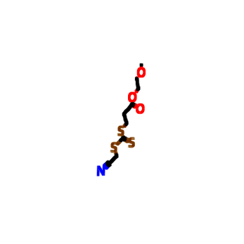 COCCOC(=O)CCSC(=S)SCC#N